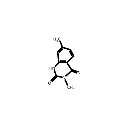 Cc1ccc2c(=S)n(C)c(=O)[nH]c2c1